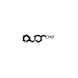 O=[C]CC1CCN(Cc2ccccn2)CC1